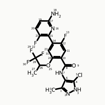 Cc1n[nH]c(Cl)c1NC(=O)c1cc(F)c(-c2nc(N)ccc2F)cc1OC(C)C(F)(F)F